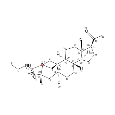 CCNC(=O)OC[C@]12CC[C@@](C)(O)C[C@@H]1CC[C@H]1[C@@H]3CC[C@H](C(C)=O)[C@@]3(C)CC[C@@H]12